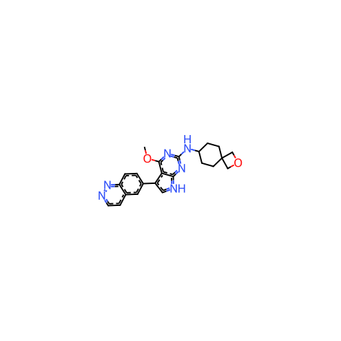 COc1nc(NC2CCC3(CC2)COC3)nc2[nH]cc(-c3ccc4nnccc4c3)c12